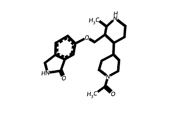 CC(=O)N1CCC(C2CCNC(C)C2COc2ccc3c(c2)C(=O)NC3)CC1